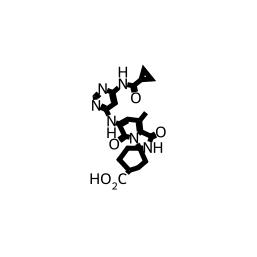 Cc1cc(Nc2cc(NC(=O)C3CC3)ncn2)c(=O)n2c1C(=O)NC21CCC(C(=O)O)CC1